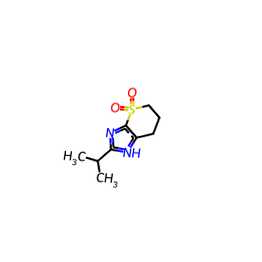 CC(C)c1nc2c([nH]1)CCCS2(=O)=O